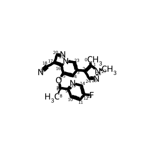 Cc1c(-c2cc(O[C@H](C)c3ccc(F)cn3)c3c(C#N)cnn3c2)cnn1C